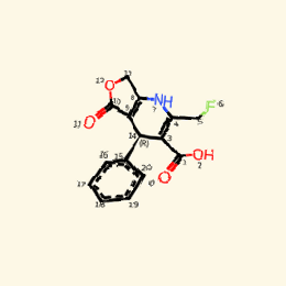 O=C(O)C1=C(CF)NC2=C(C(=O)OC2)[C@@H]1c1ccccc1